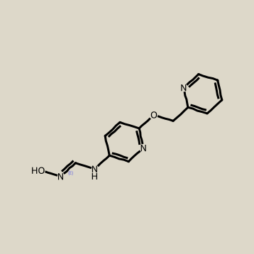 O/N=C/Nc1ccc(OCc2ccccn2)nc1